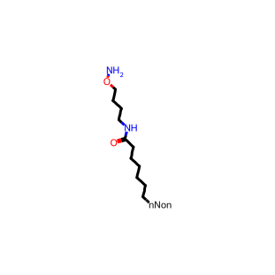 CCCCCCCCCCCCCCCC(=O)NCCCCON